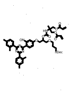 C=CC(=O)OCC(C)(COC(=O)C=C)NC(=O)OC(COCCCCCCCCCCCCC)COc1ccc(-c2nc(-c3ccc(C)cc3C)nc(-c3ccc(C)cc3C)n2)c(N=O)c1